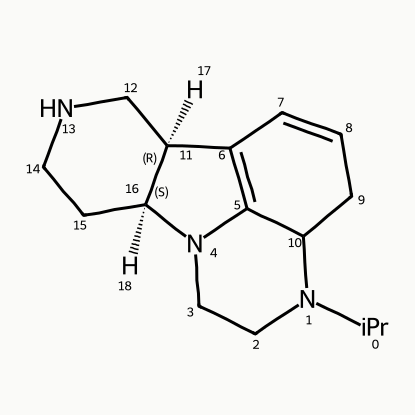 CC(C)N1CCN2C3=C(C=CCC31)[C@@H]1CNCC[C@@H]12